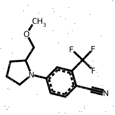 COCC1CCCN1c1ccc(C#N)c(C(F)(F)F)c1